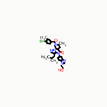 Cc1cc(C(=O)N2Cc3c(c(=O)n(-c4ccc5c(c4)ncn5CCO)c4c(CC(C)C)cnn34)C[C@H]2C)ccc1Br